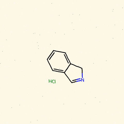 C1=NCc2ccccc21.Cl